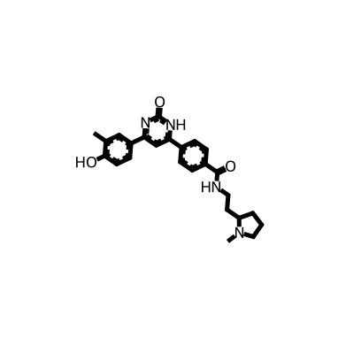 Cc1cc(-c2cc(-c3ccc(C(=O)NCCC4CCCN4C)cc3)[nH]c(=O)n2)ccc1O